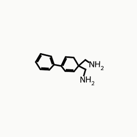 NCC1(CN)C=CC(c2ccccc2)=CC1